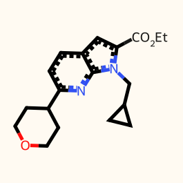 CCOC(=O)c1cc2ccc(C3CCOCC3)nc2n1CC1CC1